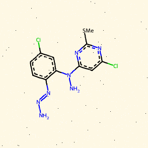 CSc1nc(Cl)cc(N(N)c2cc(Cl)ccc2N=NN)n1